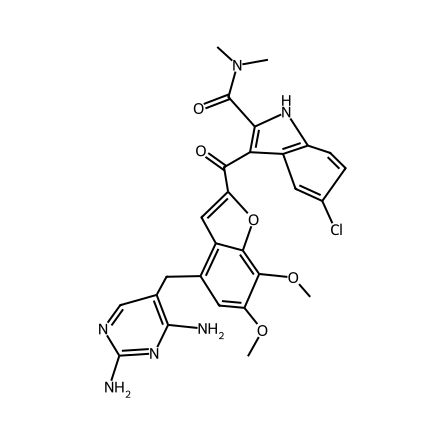 COc1cc(Cc2cnc(N)nc2N)c2cc(C(=O)c3c(C(=O)N(C)C)[nH]c4ccc(Cl)cc34)oc2c1OC